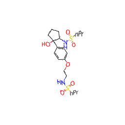 CCCS(=O)(=O)NCCOc1ccc(C2(O)CCCC2NS(=O)(=O)CCC)cc1